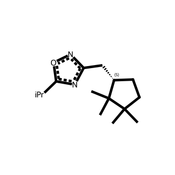 CC(C)c1nc(C[C@@H]2CCC(C)(C)C2(C)C)no1